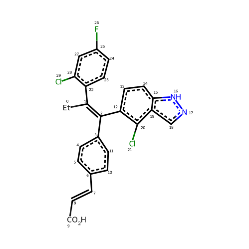 CCC(=C(c1ccc(C=CC(=O)O)cc1)c1ccc2[nH]ncc2c1Cl)c1ccc(F)cc1Cl